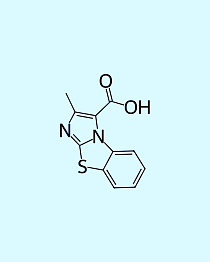 Cc1nc2sc3ccccc3n2c1C(=O)O